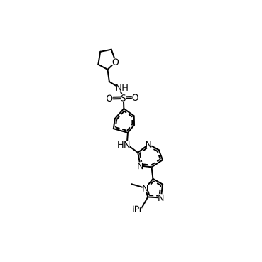 CC(C)c1ncc(-c2ccnc(Nc3ccc(S(=O)(=O)NCC4CCCO4)cc3)n2)n1C